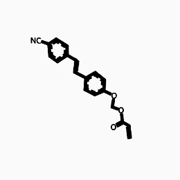 C=CC(=O)OCOc1ccc(C=Cc2ccc(C#N)cc2)cc1